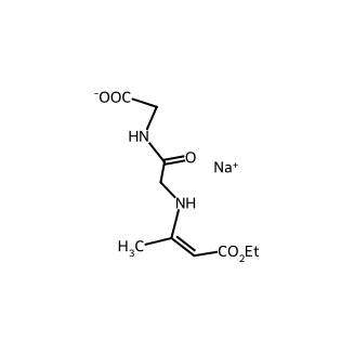 CCOC(=O)C=C(C)NCC(=O)NCC(=O)[O-].[Na+]